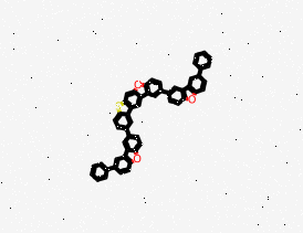 C1=CC(c2ccccc2)Cc2c1oc1ccc(-c3ccc4oc5cc6sc7ccc(-c8ccc9oc%10ccc(-c%11ccccc%11)cc%10c9c8)cc7c6cc5c4c3)cc21